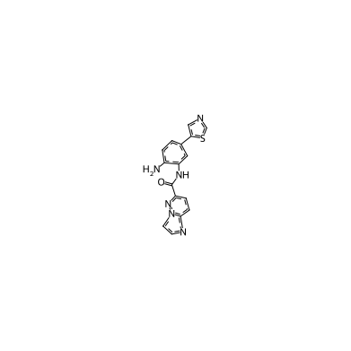 Nc1ccc(-c2cncs2)cc1NC(=O)c1ccc2nccn2n1